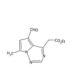 CCOC(=O)Cc1ncnn2c(C)cc(C=O)c12